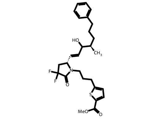 COC(=O)c1ccc(CCCN2C(=O)C(F)(F)C[C@@H]2/C=C/C(O)[C@H](C)CCCc2ccccc2)s1